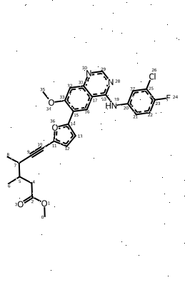 COC(=O)CC(C)C(C)C#Cc1ccc(-c2cc3c(Nc4ccc(F)c(Cl)c4)ncnc3cc2OC)o1